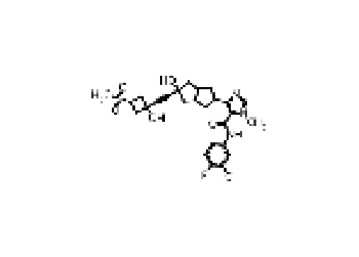 Cn1cnc(C2CC3CC(O)(C#CC4(O)CC(S(C)(=O)=O)C4)CC3C2)c1C(=O)Nc1ccc(F)c(Cl)c1